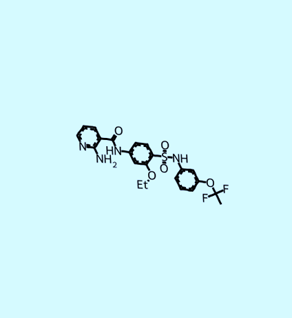 CCOc1cc(NC(=O)c2cccnc2N)ccc1S(=O)(=O)Nc1cccc(OC(C)(F)F)c1